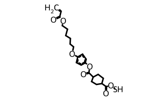 C=CC(=O)OCCCCCCOc1ccc(OC(=O)C2CCC(C(=O)OS)CC2)cc1